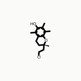 Cc1c(C)c2c(c(C)c1O)CC[C@@](C)(CCCl)O2